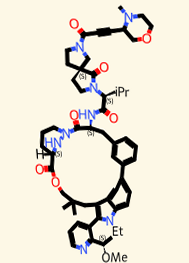 CCn1c(-c2cccnc2[C@H](C)OC)c2c3cc(ccc31)-c1cccc(c1)C[C@H](NC(=O)[C@H](C(C)C)N1CC[C@]3(CCN(C(=O)C#CC4COCCN4C)C3)C1=O)C(=O)N1CCC[C@H](N1)C(=O)OCC(C)(C)C2